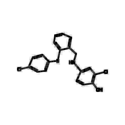 Oc1ccc(NCc2ccccc2Sc2ccc(Cl)cc2)cc1Cl